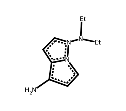 CCN(CC)n1ccc2c(N)ccn21